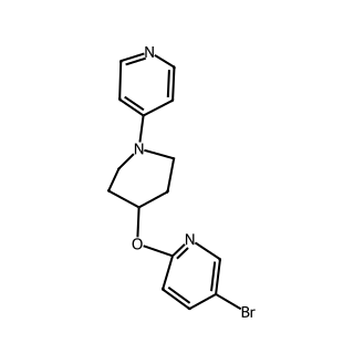 Brc1ccc(OC2CCN(c3ccncc3)CC2)nc1